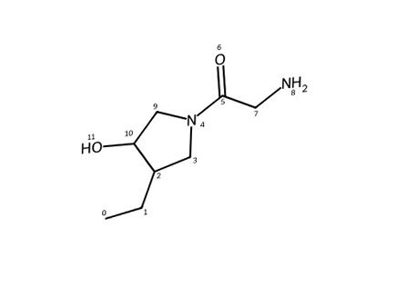 CCC1CN(C(=O)CN)CC1O